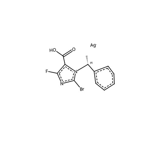 C[C@H](c1ccccc1)n1c(Br)nc(F)c1C(=O)O.[Ag]